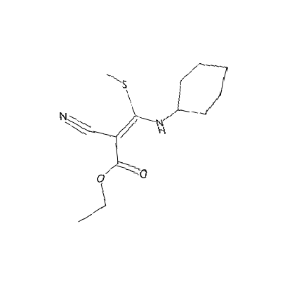 CCOC(=O)C(C#N)=C(NC1CCCCC1)SC